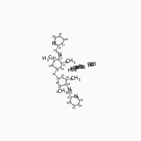 Br.Br.Br.Br.Cc1cc(Cc2cc(C)c(N=Cc3ccccn3)c(C)c2)cc(C)c1N=Cc1ccccn1.[Pd].[Pd]